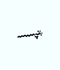 CCCCCCCCCCCCP(CCC(N(C)C)N(C)C)CC(C)C